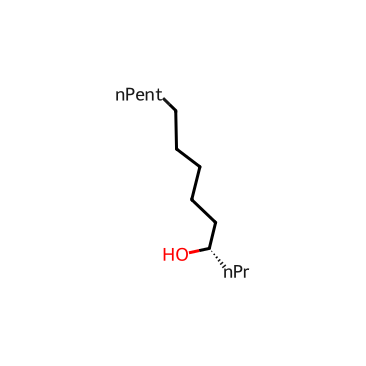 CCCCCCCCCC[C@@H](O)CCC